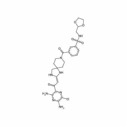 Nc1nc(N)c(C(=O)/C=C2\NCC3(CCN(C(=O)c4cccc(S(=O)(=O)NCC5OCCO5)c4)CC3)N2)nc1Cl